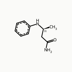 C[C@@H](CC(N)=O)Nc1ccccc1